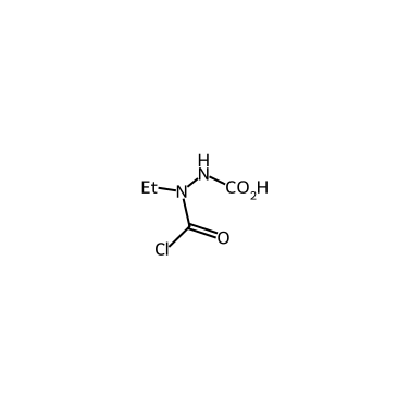 CCN(NC(=O)O)C(=O)Cl